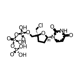 O=c1ccn([C@H]2CC[C@@](CCl)(COP(=O)(O)OP(=O)(O)OP(=O)(O)O)O2)c(=O)[nH]1